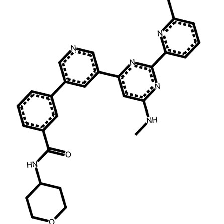 CNc1cc(-c2cncc(-c3cccc(C(=O)NC4CCOCC4)c3)c2)nc(-c2cccc(C)n2)n1